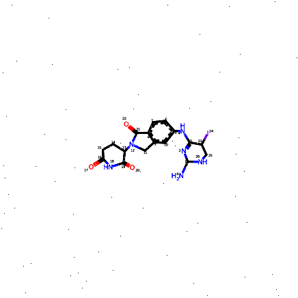 NC1N=C(Nc2ccc3c(c2)CN(C2CCC(=O)NC2=O)C3=O)C(I)CN1